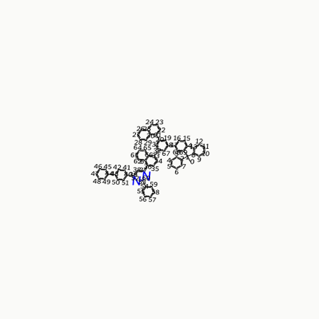 CC1(c2ccccc2)c2ccccc2-c2ccc(-c3cc(-c4cccc5ccccc45)cc(-c4ccc(-c5cc(-c6ccc(-c7ccccc7)cc6)nc(-c6ccccc6)n5)c5ccccc45)c3)cc21